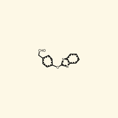 O=CCc1ccc(Oc2nc3ccccc3s2)cc1